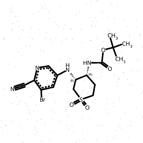 CC(C)(C)OC(=O)N[C@@H]1CCS(=O)(=O)C[C@@H]1Nc1cnc(C#N)c(Br)c1